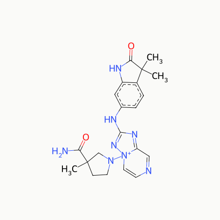 CC1(C(N)=O)CCN([N+]23C=CN=CC2=NC(Nc2ccc4c(c2)NC(=O)C4(C)C)=N3)C1